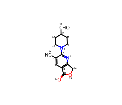 N#Cc1cc2c(nc1N1CCC(C=O)CC1)COC2=O